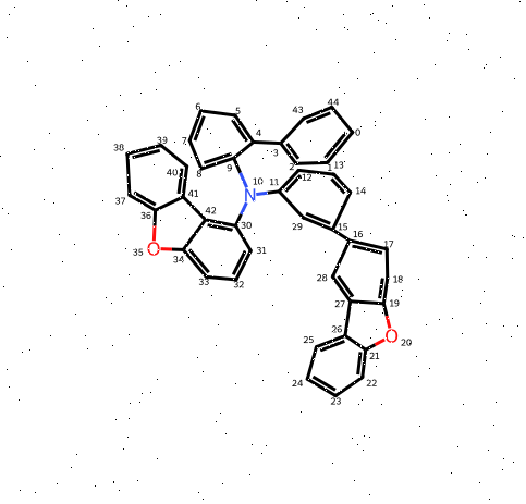 c1ccc(-c2ccccc2N(c2cccc(-c3ccc4oc5ccccc5c4c3)c2)c2cccc3oc4ccccc4c23)cc1